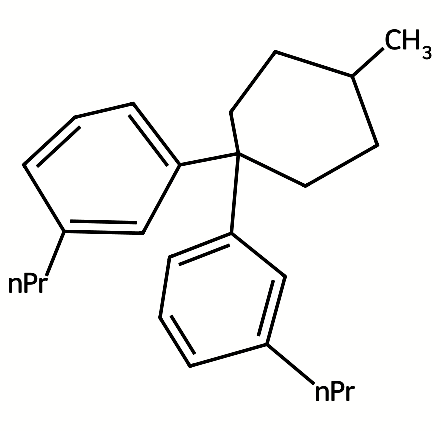 CCCc1cccc(C2(c3cccc(CCC)c3)CCC(C)CC2)c1